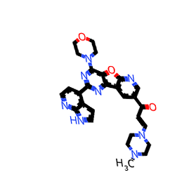 CN1CCN(/C=C/C(=O)c2cnc3oc4c(N5CCOCC5)nc(-c5ccnc6[nH]ccc56)nc4c3c2)CC1